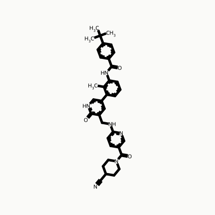 Cc1c(NC(=O)c2ccc(C(C)(C)C)cc2)cccc1-c1c[nH]c(=O)c(CNc2ccc(C(=O)N3CCC(C#N)CC3)cn2)c1